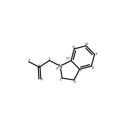 C=C(C)CN1CCc2ccccc21